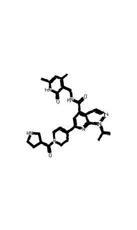 Cc1cc(C)c(CNC(=O)c2cc(C3=CCN(C(=O)C4CCNC4)CC3)nc3c2cnn3C(C)C)c(=O)[nH]1